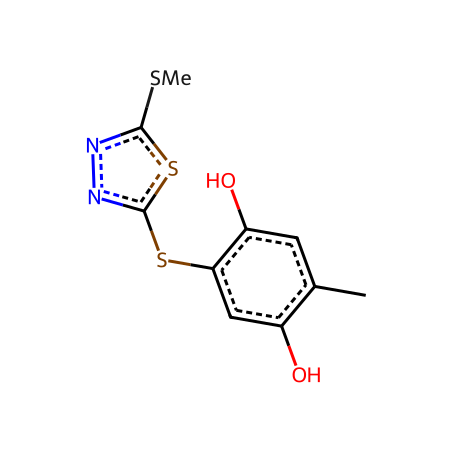 CSc1nnc(Sc2cc(O)c(C)cc2O)s1